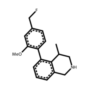 COc1cc(CF)ccc1-c1cccc2c1C(C)CNC2